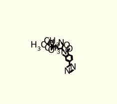 CC(C)(C)OC(=O)CCC(C(N)=O)N1Cc2cc(-c3cnccn3)ccc2C1=O